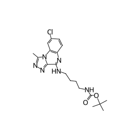 Cc1nnc2c(NCCCCNC(=O)OC(C)(C)C)nc3ccc(Cl)cc3n12